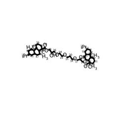 CC(C)C1CCC2C(CCC3C(C)(C(=O)OCC(O)COCCCOCCOCC(O)COC(=O)C4(C)CCCC5(C)C6CCC(C(C)C)CC6CCC45)CCCC23C)C1